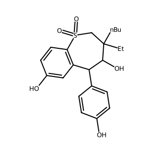 CCCCC1(CC)CS(=O)(=O)c2ccc(O)cc2C(c2ccc(O)cc2)C1O